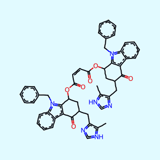 Cc1[nH]cnc1CC1CC(OC(=O)/C=C\C(=O)OC2CC(Cc3nc[nH]c3C)C(=O)c3c2n(Cc2ccccc2)c2ccccc32)c2c(c3ccccc3n2Cc2ccccc2)C1=O